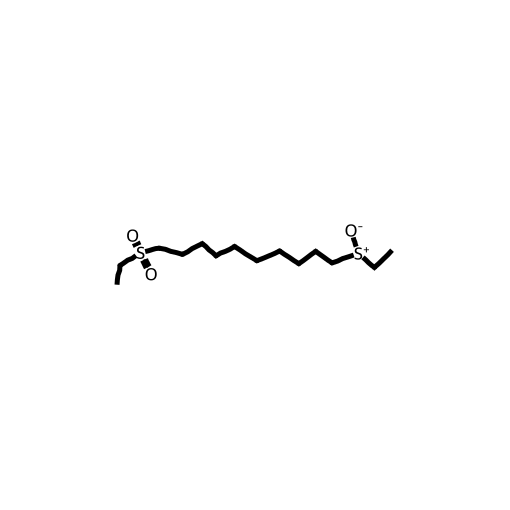 CC[S+]([O-])CCCCCCCCCCS(=O)(=O)CC